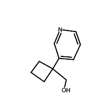 OCC1(c2cccnc2)CCC1